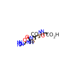 O=C(O)Cc1nnc(SCC2=C(C(=O)O)N3C(=O)C(NC(=O)Cn4cnnn4)[C@@H]3SC2)o1